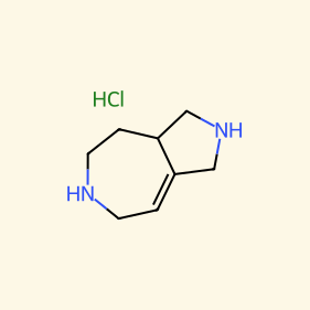 C1=C2CNCC2CCNC1.Cl